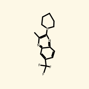 Cc1nc2cc(C(F)(F)F)ccc2nc1N1CCCCC1